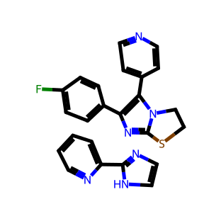 Fc1ccc(-c2nc3n(c2-c2ccncc2)CCS3)cc1.c1ccc(-c2ncc[nH]2)nc1